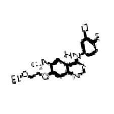 CCOCCOc1cc2ncnc(Nc3ccc(F)c(Cl)c3)c2cc1[N+](=O)[O-]